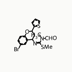 CS/C(=N/C1CC(c2cccs2)Oc2ccc(Br)cc21)N(C)C=O